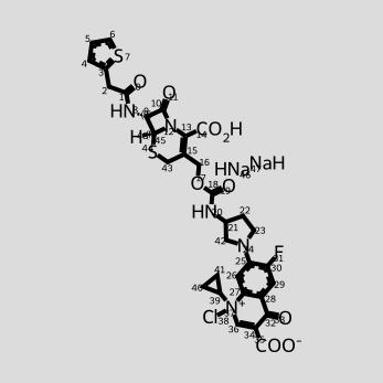 O=C(Cc1cccs1)N[C@@H]1C(=O)N2C(C(=O)O)=C(COC(=O)NC3CCN(c4cc5c(cc4F)C(=O)C(C(=O)[O-])=C[N+]5(Cl)C4CC4)C3)CS[C@H]12.[NaH].[NaH]